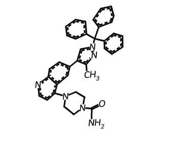 Cc1nn(C(c2ccccc2)(c2ccccc2)c2ccccc2)cc1-c1ccc2nccc(N3CCN(C(N)=O)CC3)c2c1